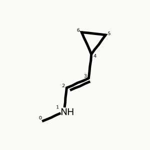 CNC=CC1CC1